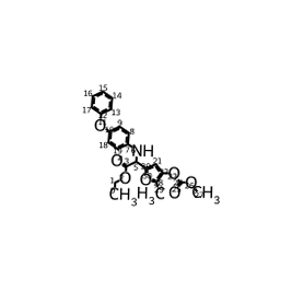 CCOC(=O)C(Nc1ccc(Oc2ccccc2)cc1)c1cc(OC(=O)OC)c(C)o1